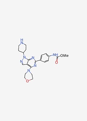 COC(=O)Nc1ccc(-c2nc(N3CCOCC3)c3cnn(C4CCNCC4)c3n2)cc1